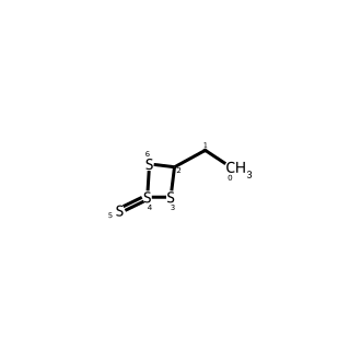 CCC1SS(=S)S1